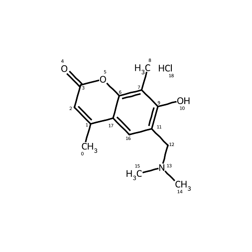 Cc1cc(=O)oc2c(C)c(O)c(CN(C)C)cc12.Cl